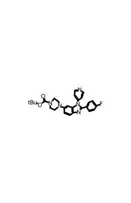 CC(C)(C)OC(=O)N1CCN(c2ccc3nc(-c4ccc(F)cc4)n(-c4ccncc4)c3c2)CC1